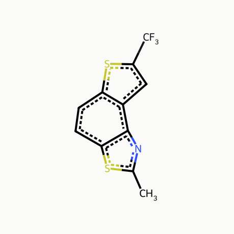 Cc1nc2c(ccc3sc(C(F)(F)F)cc32)s1